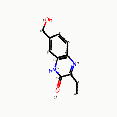 CCc1nc2ccc(CO)cc2[nH]c1=O